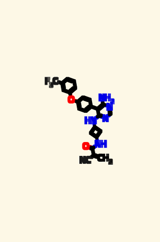 C=C(C#N)C(=O)N[C@H]1C[C@@H](Nc2ncnc(N)c2-c2ccc(Oc3cccc(C(F)(F)F)c3)cc2)C1